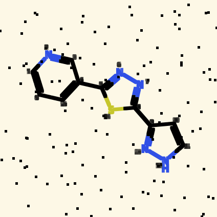 c1cncc(-c2nnc(-c3cc[nH]n3)s2)c1